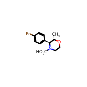 C[C@@H]1OCCN(C(=O)O)[C@H]1c1ccc(Br)cc1